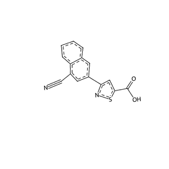 N#Cc1cc(-c2cc(C(=O)O)sn2)cc2ccccc12